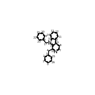 c1ccc(Cc2nccc3c4ccccc4n(Cc4ccccc4)c23)cc1